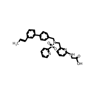 CC=Cc1cccc(-c2ccc(CN(Cc3cccc(NCC(=O)O)n3)S(=O)(=O)c3ccccn3)cc2)c1